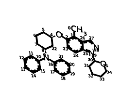 Cc1c(O[C@H]2CCC[C@@H](N(c3ccccc3)c3ccccc3)C2)ccc2c1cnn2C1CCCCO1